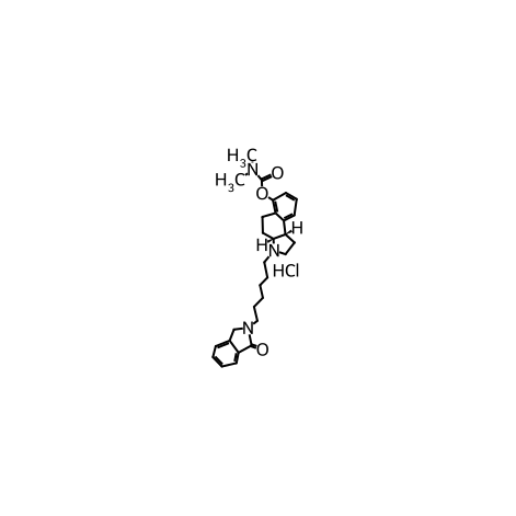 CN(C)C(=O)Oc1cccc2c1CC[C@@H]1[C@H]2CCN1CCCCCCN1Cc2ccccc2C1=O.Cl